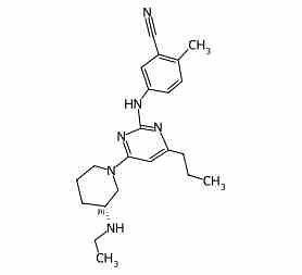 CCCc1cc(N2CCC[C@@H](NCC)C2)nc(Nc2ccc(C)c(C#N)c2)n1